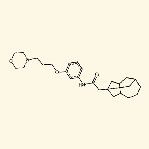 O=C(CC12CC3CCCC(C1)C(C3)C2)Nc1cccc(OCCCN2CCOCC2)c1